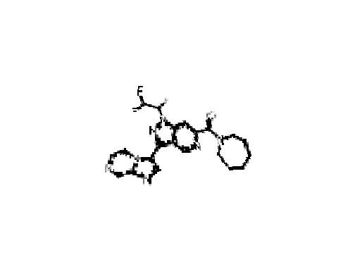 O=C(c1cc2c(cn1)c(-c1cnc3cnccn13)nn2C(F)C(F)F)N1CCCCCC1